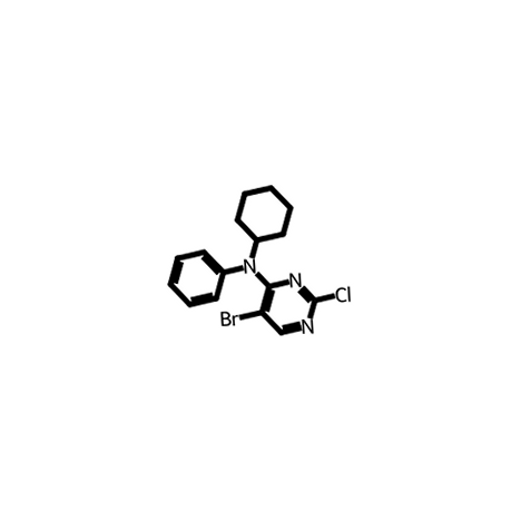 Clc1ncc(Br)c(N(c2ccccc2)C2CCCCC2)n1